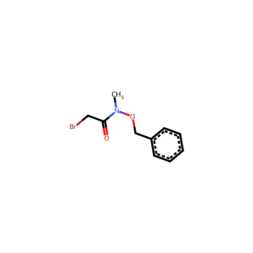 CN(OCc1ccccc1)C(=O)CBr